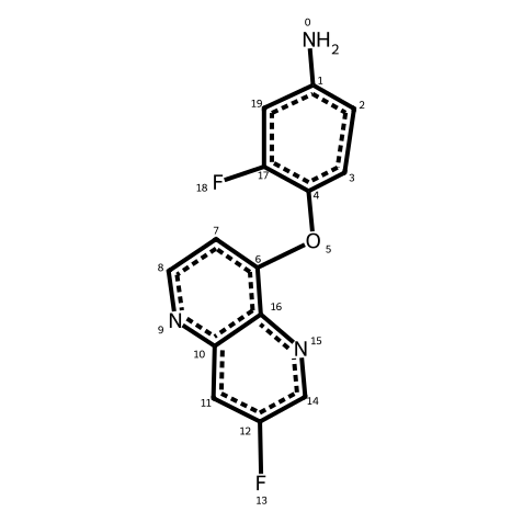 Nc1ccc(Oc2ccnc3cc(F)cnc23)c(F)c1